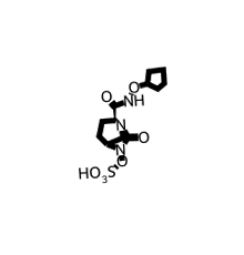 O=C(NOC1CCCC1)[C@@H]1CCC2CN1C(=O)N2OS(=O)(=O)O